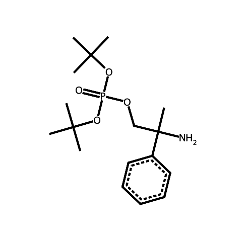 CC(C)(C)OP(=O)(OCC(C)(N)c1ccccc1)OC(C)(C)C